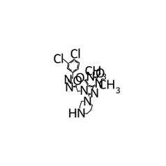 Cn1c(=O)c2c(nc(N3CCCNCC3)n2Cc2nnc(-c3ccc(Cl)c(Cl)c3)o2)n(C)c1=O